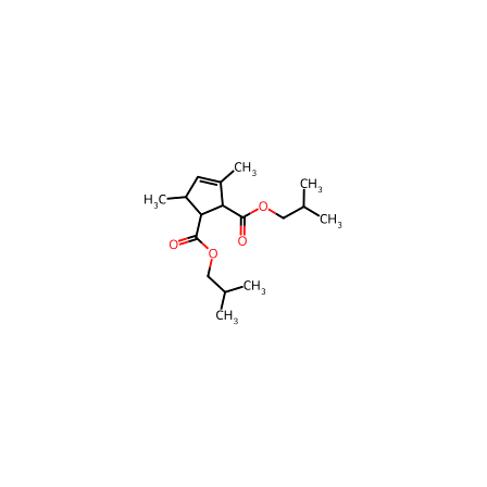 CC1=CC(C)C(C(=O)OCC(C)C)C1C(=O)OCC(C)C